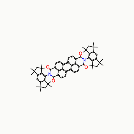 CC1(C)CC(C)(C)c2c1cc1c(c2N2C(=O)c3ccc4c5ccc6c7c(ccc(c8ccc(c3c48)C2=O)c75)C(=O)N(c2c3c(cc4c2C(C)(C)CC4(C)C)C(C)(C)CC3(C)C)C6=O)C(C)(C)CC1(C)C